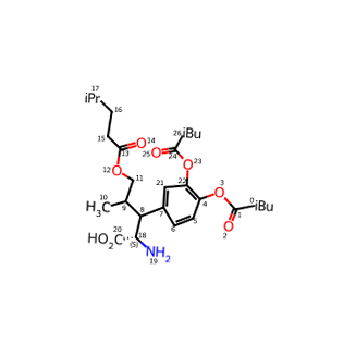 CCC(C)C(=O)Oc1ccc(C(C(C)COC(=O)CCC(C)C)[C@H](N)C(=O)O)cc1OC(=O)C(C)CC